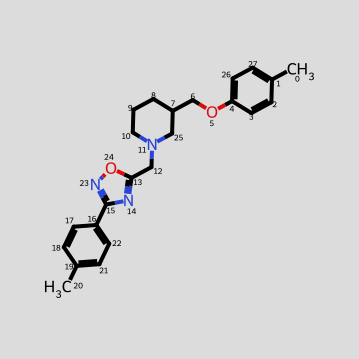 Cc1ccc(OCC2CCCN(Cc3nc(-c4ccc(C)cc4)no3)C2)cc1